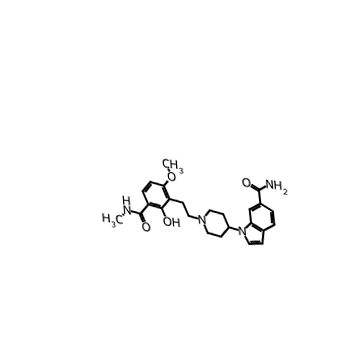 CNC(=O)c1ccc(OC)c(CCN2CCC(n3ccc4ccc(C(N)=O)cc43)CC2)c1O